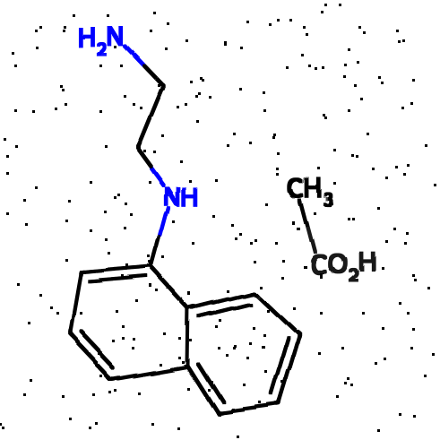 CC(=O)O.NCCNc1cccc2ccccc12